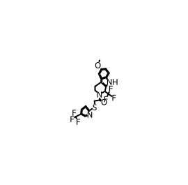 COc1ccc2[nH]c3c(c2c1)CCN(C(=O)CSc1ccc(C(F)(F)F)cn1)C3C(F)(F)F